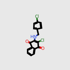 O=C1C(Cl)=C(NCc2ccc(Cl)cc2)C(=O)c2ccccc21